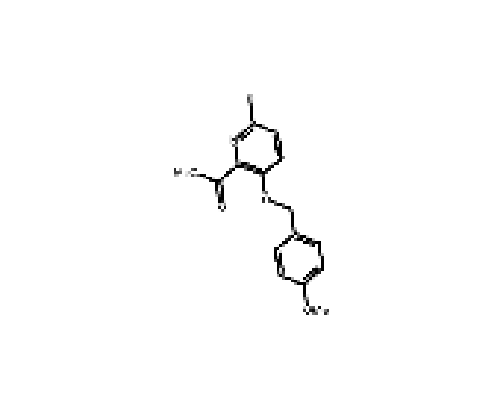 COC(=O)c1nc(Br)ccc1OCc1ccc(OC)cc1